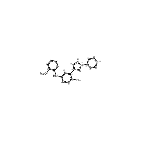 COc1c[c]ccc1Nc1ncc(Cl)c(-c2cnn(-c3ccncc3)c2)n1